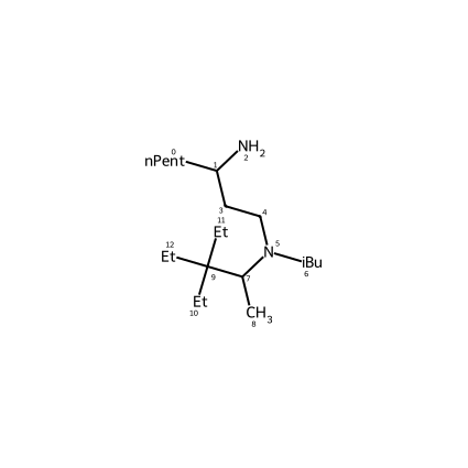 CCCCCC(N)CCN(C(C)CC)C(C)C(CC)(CC)CC